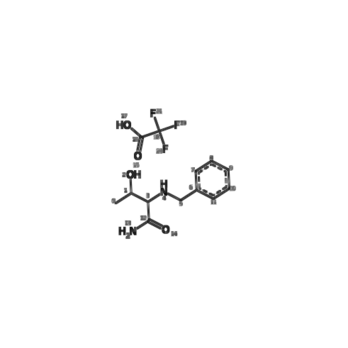 CC(O)C(NCc1ccccc1)C(N)=O.O=C(O)C(F)(F)F